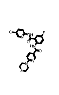 O=C(Nc1ccc(F)cc1C(=O)Nc1ccc(Cl)cn1)c1ccc(N2CCSCC2)nc1